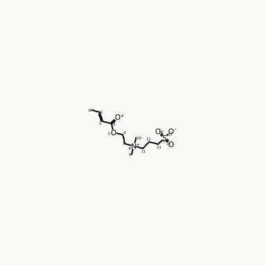 CC=CC(=O)OCC[N+](C)(C)CCCS(=O)(=O)[O-]